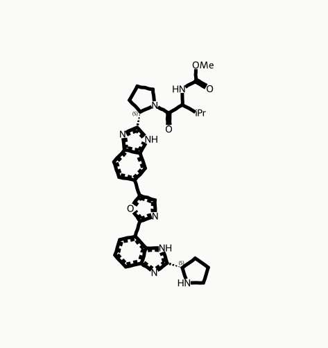 COC(=O)NC(C(=O)N1CCC[C@H]1c1nc2ccc(-c3cnc(-c4cccc5nc([C@@H]6CCCN6)[nH]c45)o3)cc2[nH]1)C(C)C